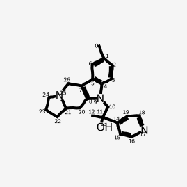 Cc1ccc2c(c1)c1c(n2CC(C)(O)c2ccncc2)CC2CCCN2C1